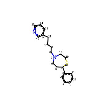 c1ccc(C2CCN(CCCCc3cccnc3)CCS2)cc1